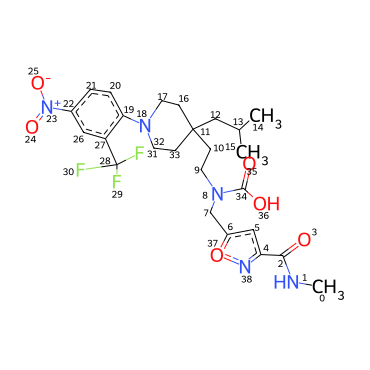 CNC(=O)c1cc(CN(CCC2(CC(C)C)CCN(c3ccc([N+](=O)[O-])cc3C(F)(F)F)CC2)C(=O)O)on1